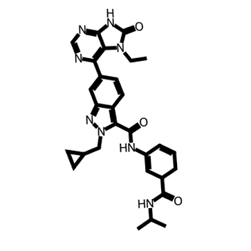 CCn1c(=O)[nH]c2ncnc(-c3ccc4c(C(=O)NC5=CC(C(=O)NC(C)C)CC=C5)n(CC5CC5)nc4c3)c21